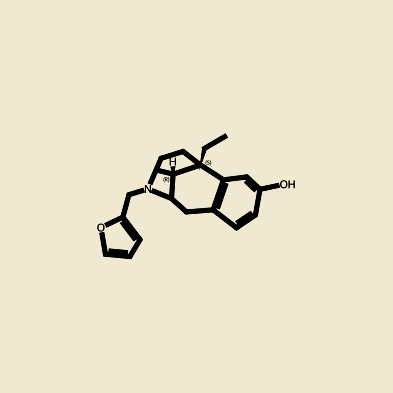 CC[C@@]12CCN(Cc3ccco3)C(Cc3ccc(O)cc31)[C@@H]2C